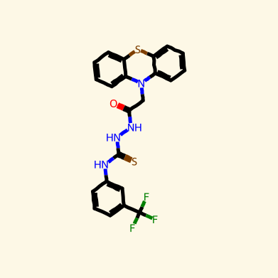 O=C(CN1c2ccccc2Sc2ccccc21)NNC(=S)Nc1cccc(C(F)(F)F)c1